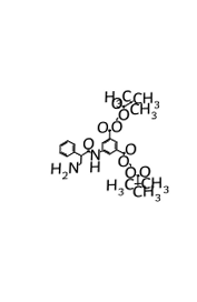 CC(C)(C)C(=O)OCOC(=O)c1cc(NC(=O)C(CN)c2ccccc2)cc(C(=O)OCOC(=O)C(C)(C)C)c1